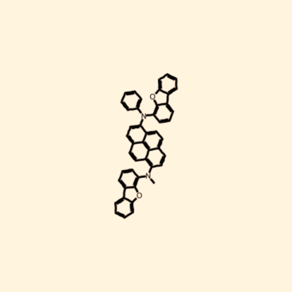 CN(c1ccc2ccc3c(N(c4ccccc4)c4cccc5c4oc4ccccc45)ccc4ccc1c2c43)c1cccc2c1oc1ccccc12